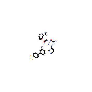 Cc1[nH]c2ccccc2c1C[C@@H](C(=O)NCc1cc(-c2ccc(S(C)(=O)=O)cc2)cc(Cl)c1Sc1ncccc1CN)N(C)C(=O)[C@@H](N)CN